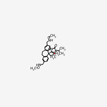 CONCc1ccc2c(c1)CCc1cc(CNOC)ccc1C2(C[C@H](C)N)c1nn(C(C)C)c(=O)[nH]1